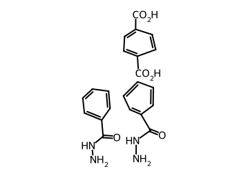 NNC(=O)c1ccccc1.NNC(=O)c1ccccc1.O=C(O)c1ccc(C(=O)O)cc1